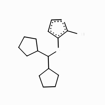 [SiH3]c1sccc1OC(C1CCCC1)C1CCCC1